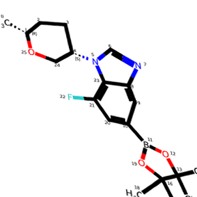 C[C@@H]1CC[C@H](n2cnc3cc(B4OC(C)(C)C(C)(C)O4)cc(F)c32)CO1